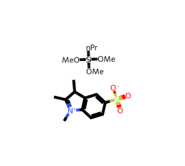 CC1=[N+](C)c2ccc(S(=O)(=O)[O-])cc2C1C.CCC[Si](OC)(OC)OC